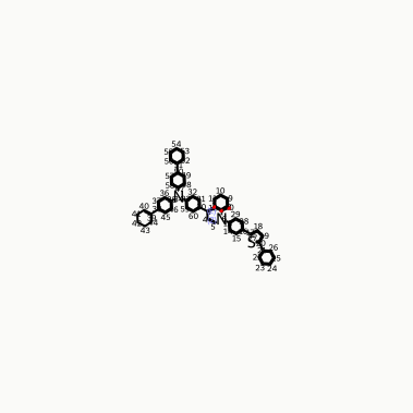 C=C/C=C(\C=C/N(c1ccccc1)c1ccc(-c2ccc(-c3ccccc3)s2)cc1)c1ccc(N(c2ccc(C3=CCCCC3)cc2)c2ccc(-c3ccccc3)cc2)cc1